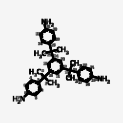 CC(C)(c1ccc(N)cc1)c1cc(C(C)(C)c2ccc(N)cc2)cc(C(C)(C)c2ccc(N)cc2)c1